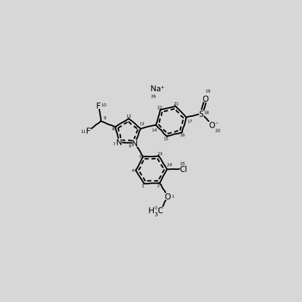 COc1ccc(-n2nc(C(F)F)cc2-c2ccc(S(=O)[O-])cc2)cc1Cl.[Na+]